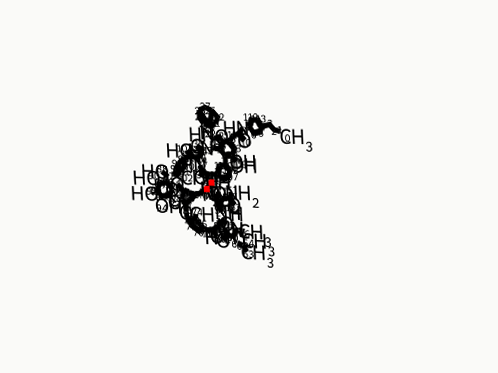 CCCCc1ccc(NC(=O)Cc2cc(O)c3c(c2)[C@@H](C(=O)NC2C4CC5CC(C4)CC2C5)NC(=O)[C@H]2NC(=O)[C@H](NC(=O)[C@@H]4NC(=O)[C@H](CC(N)=O)NC(=O)[C@H](NC(=O)[C@@H](CC(C)C)NC)[C@H](O)c5ccc(c(C)c5)Oc5cc4cc(c5O[C@@H]4O[C@H](CO)[C@@H](O)[C@H](O)[C@H]4O)Oc4ccc(cc4Cl)[C@H]2O)c2ccc(O)c-3c2)cc1